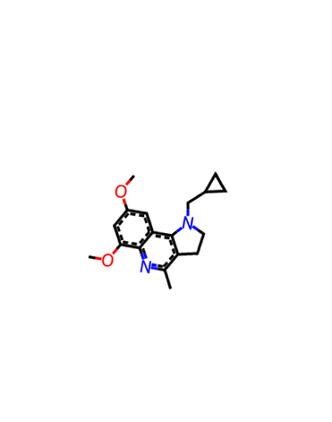 COc1cc(OC)c2nc(C)c3c(c2c1)N(CC1CC1)CC3